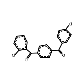 O=C(c1ccc(Cl)cc1)c1ccc(C(=O)c2ccccc2Cl)cc1